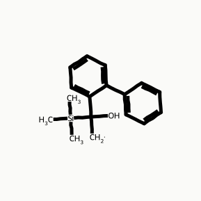 [CH2]C(O)(c1ccccc1-c1ccccc1)[Si](C)(C)C